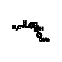 C=CCNCc1cccc(-c2n[nH]c(-c3ccc(OC)cc3)n2)c1.Cl